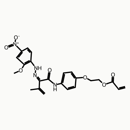 C=CC(=O)OCCOc1ccc(NC(=O)/C(=N\Nc2ccc([N+](=O)[O-])cc2OC)C(=C)C)cc1